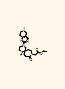 CCOC(=O)CN1CCC2(CCC1=O)CN(c1ncc3c(n1)CCNC3)CCN2C